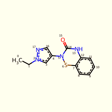 CCn1cc(N2Sc3ccccc3NC2=O)cn1